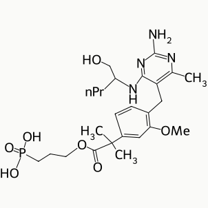 CCCC(CO)Nc1nc(N)nc(C)c1Cc1ccc(C(C)(C)C(=O)OCCCP(=O)(O)O)cc1OC